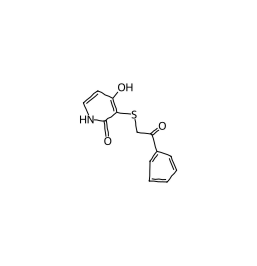 O=C(CSc1c(O)cc[nH]c1=O)c1ccccc1